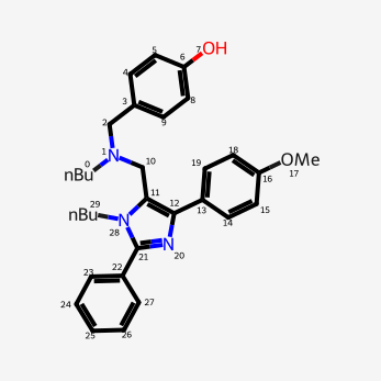 CCCCN(Cc1ccc(O)cc1)Cc1c(-c2ccc(OC)cc2)nc(-c2ccccc2)n1CCCC